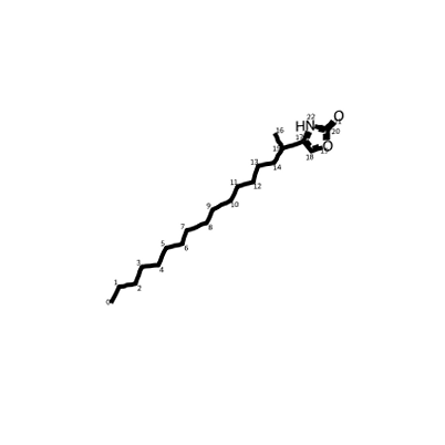 CCCCCCCCCCCCCCCC(C)c1coc(=O)[nH]1